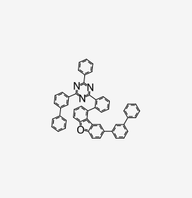 c1ccc(-c2cccc(-c3ccc4oc5cccc(-c6ccccc6-c6nc(-c7ccccc7)nc(-c7cccc(-c8ccccc8)c7)n6)c5c4c3)c2)cc1